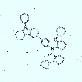 C1=Cc2c(n(-c3ccccc3)c3ccc(-c4ccc(N(c5cc6ccccc6c6ccccc56)c5cccc6c5oc5ccccc56)cc4)cc23)CC1